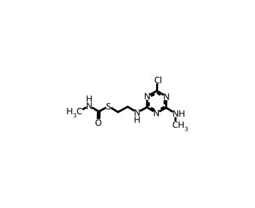 CNC(=O)SCCNc1nc(Cl)nc(NC)n1